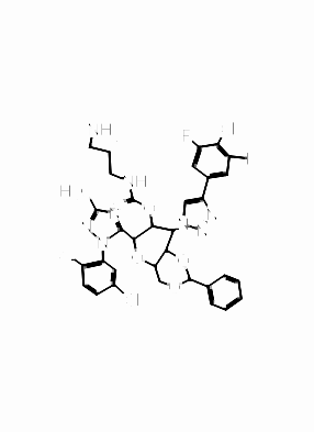 Cc1nc(C2OC3COC(c4ccccc4)OC3C(n3cc(-c4cc(F)c(Cl)c(F)c4)nn3)C2OC(=O)NCCCN)n(-c2cc(Cl)ccc2Cl)n1